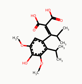 COc1cc(C(=C(C(=O)O)C(=O)O)C(C)C)c(C(C)C)c(OC)c1O